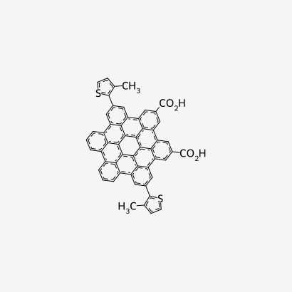 Cc1ccsc1-c1cc2c3cccc4c5cccc6c7cc(-c8sccc8C)cc8c9cc(C(=O)O)cc%10c%11cc(C(=O)O)cc%12c(c1)c2c1c(c43)c(c56)c(c78)c(c%109)c1c%11%12